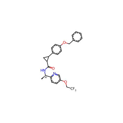 C[C@@H](NC(=O)C1CC1c1ccc(OCc2ccccc2)cc1)c1ccc(OCC(F)(F)F)cn1